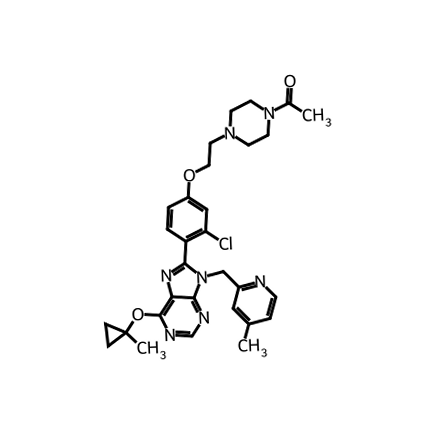 CC(=O)N1CCN(CCOc2ccc(-c3nc4c(OC5(C)CC5)ncnc4n3Cc3cc(C)ccn3)c(Cl)c2)CC1